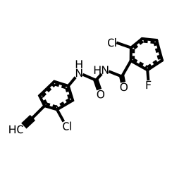 C#Cc1ccc(NC(=O)NC(=O)c2c(F)cccc2Cl)cc1Cl